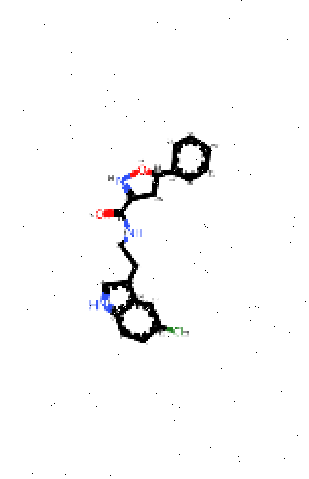 O=C(NCCc1c[nH]c2ccc(Cl)cc12)C1=NOC(c2ccccc2)C1